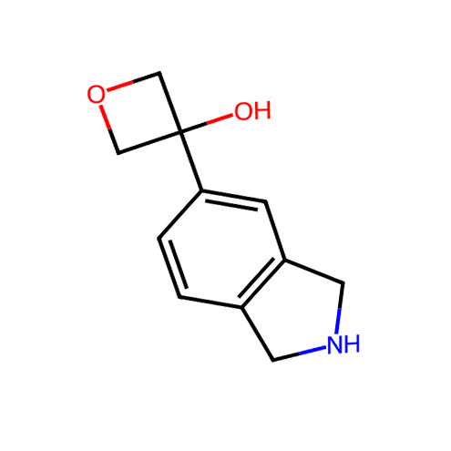 OC1(c2ccc3c(c2)CNC3)COC1